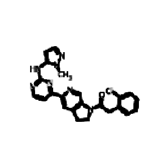 Cn1nccc1Nc1nccc(-c2cc3c(cn2)N(C(=O)Cc2ccccc2Cl)CC3)n1